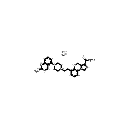 CNC(=O)c1ncn2c1COc1c(CCN3CCN(c4cccc5nc(C)ncc45)CC3)cccc1-2.Cl.Cl